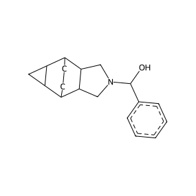 OC(c1ccccc1)N1CC2C3CCC(C4CC34)C2C1